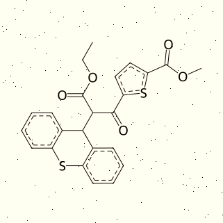 CCOC(=O)C(C(=O)c1ccc(C(=O)OC)s1)C1c2ccccc2Sc2ccccc21